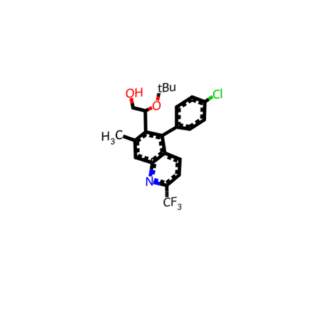 Cc1cc2nc(C(F)(F)F)ccc2c(-c2ccc(Cl)cc2)c1C(CO)OC(C)(C)C